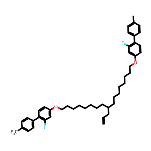 C=CCC(CCCCCCCCOc1ccc(-c2ccc(C)cc2)c(F)c1)CCCCCCCCOc1ccc(-c2ccc(C(F)(F)F)cc2)c(F)c1